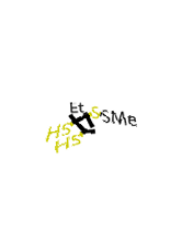 CCC(C)(SSC)C(C)(S)C(C)S